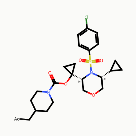 CC(=O)CC1CCN(C(=O)OC2([C@H]3COC[C@@H](C4CC4)N3S(=O)(=O)c3ccc(Cl)cc3)CC2)CC1